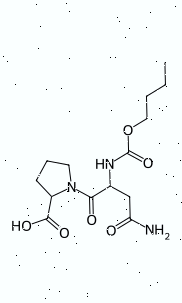 CCCCOC(=O)NC(CC(N)=O)C(=O)N1CCCC1C(=O)O